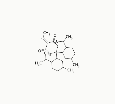 C[C]=C1C(=O)CC(C2CC(C)CCC2C(C)C)(C2CC(C)CCC2C(C)C)CC1=O